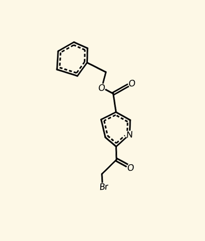 O=C(OCc1ccccc1)c1ccc(C(=O)CBr)nc1